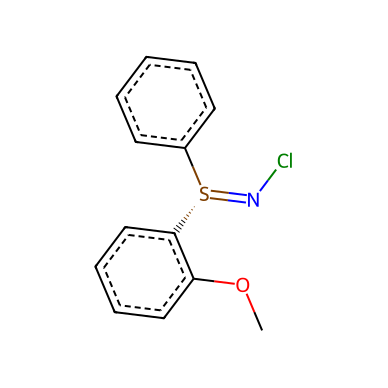 COc1ccccc1[S@@](=NCl)c1ccccc1